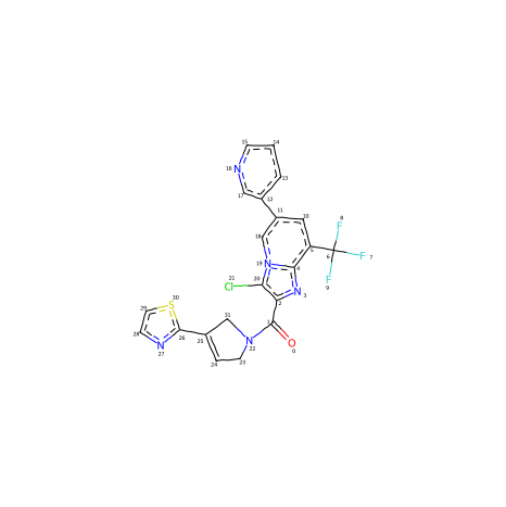 O=C(c1nc2c(C(F)(F)F)cc(-c3cccnc3)cn2c1Cl)N1CC=C(c2nccs2)C1